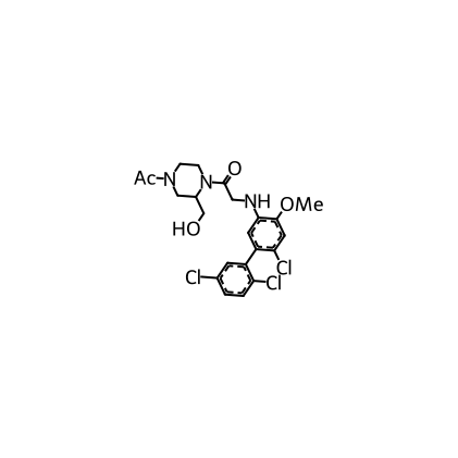 COc1cc(Cl)c(-c2cc(Cl)ccc2Cl)cc1NCC(=O)N1CCN(C(C)=O)CC1CO